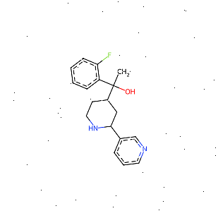 [CH2]C(O)(c1ccccc1F)C1CCNC(c2cccnc2)C1